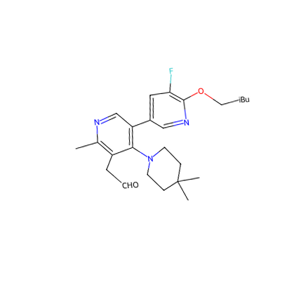 CCC(C)COc1ncc(-c2cnc(C)c(CC=O)c2N2CCC(C)(C)CC2)cc1F